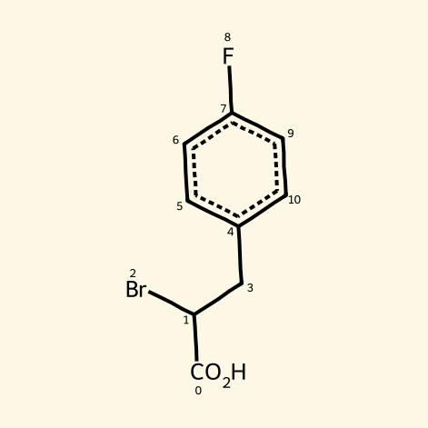 O=C(O)C(Br)Cc1ccc(F)cc1